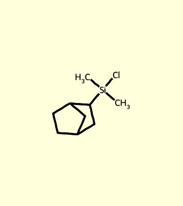 C[Si](C)(Cl)C1CC2CCC1C2